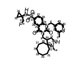 Cc1cc(Cn2c(=O)n(CC3CNN(C)C34CCCCCCC4)c(=O)c3cc(S(=O)(=O)NC4(CF)CC4)ccc32)ccn1